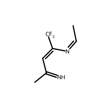 C/C=N\C(=C/C(C)=N)C(F)(F)F